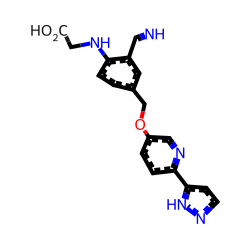 N=Cc1cc(COc2ccc(-c3ccn[nH]3)nc2)ccc1NCC(=O)O